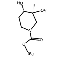 CC(C)(C)OC(=O)N1CC[C@H](O)[C@@](C)(O)C1